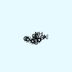 CC(C)(C)COc1ccc2c(c1)[C@]1(COC(N)=N1)c1cc(C3CCOCC3)ccc1O2